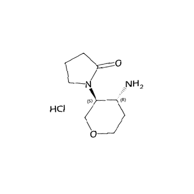 Cl.N[C@@H]1CCOC[C@H]1N1CCCC1=O